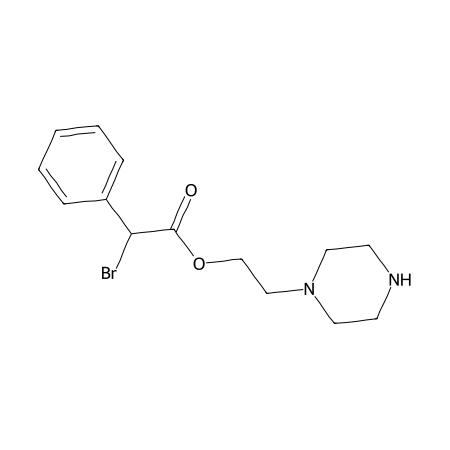 O=C(OCCN1CCNCC1)C(Br)c1ccccc1